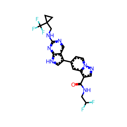 O=C(NCC(F)F)c1cnn2ccc(-c3c[nH]c4nc(NCC5(C(F)(F)F)CC5)ncc34)cc12